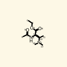 CCOC(=O)/C(NC(C)=O)=C(\C)N(C)C